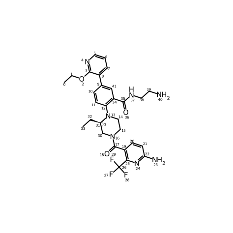 CCOc1ncccc1-c1ccc(N2CCN(C(=O)c3ccc(N)nc3C(F)(F)F)C[C@H]2CC)c(C(=O)NCCN)c1